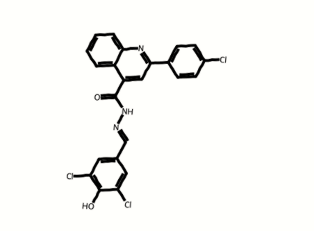 O=C(NN=Cc1cc(Cl)c(O)c(Cl)c1)c1cc(-c2ccc(Cl)cc2)nc2ccccc12